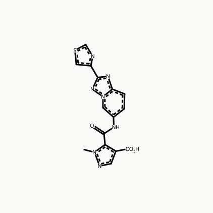 Cn1ncc(C(=O)O)c1C(=O)Nc1ccc2nc(-c3cscn3)nn2c1